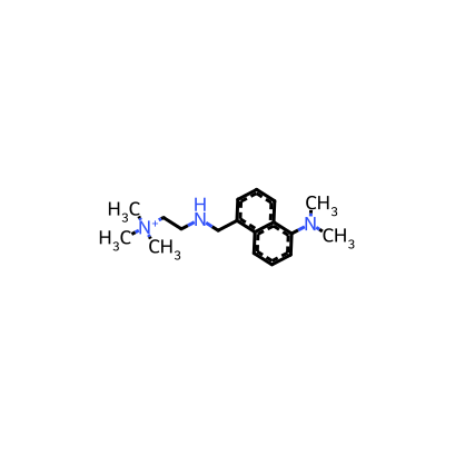 CN(C)c1cccc2c(CNCC[N+](C)(C)C)cccc12